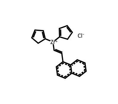 C1=CC[C]([Zr+]([CH]=Cc2cccc3ccccc23)[C]2=CC=CC2)=C1.[Cl-]